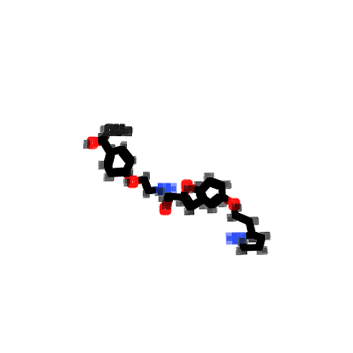 COC(=O)c1ccc(OCCNC(=O)c2cc3cc(OCCC4CCCN4)ccc3o2)cc1